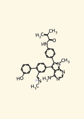 C=C(C)C(=O)Nc1ccc(-c2c(-c3ccc(-c4cccc(O)c4)c(/C=N/C)c3)c3c(N)ncnc3n2C)cc1